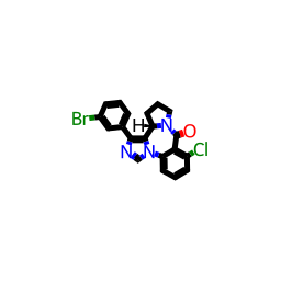 O=C1c2c(Cl)cccc2-n2cnc(-c3cccc(Br)c3)c2[C@@H]2CCCN12